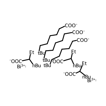 CC(C)(C)CCCCCC(=O)[O-].CC(C)(C)CCCCCC(=O)[O-].CC(C)(C)CCCCCC(=O)[O-].CCCCC(CC)C(=O)[O-].CCCCC(CC)C(=O)[O-].CCCCC(CC)C(=O)[O-].[Bi+3].[Bi+3]